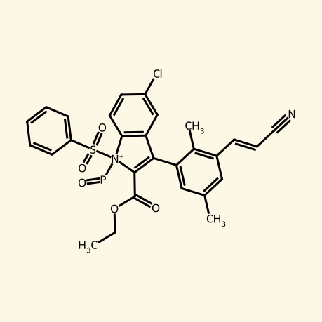 CCOC(=O)C1=C(c2cc(C)cc(/C=C/C#N)c2C)c2cc(Cl)ccc2[N+]1(P=O)S(=O)(=O)c1ccccc1